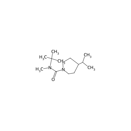 CC(C)C1CCN(C(=O)N(C)C(C)(C)C)CC1